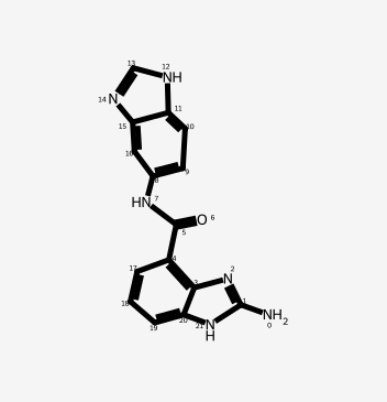 Nc1nc2c(C(=O)Nc3ccc4[nH]cnc4c3)cccc2[nH]1